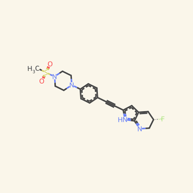 CS(=O)(=O)N1CCN(c2ccc(C#Cc3cc4c([nH]3)=NC[C@@H](F)C=4)cc2)CC1